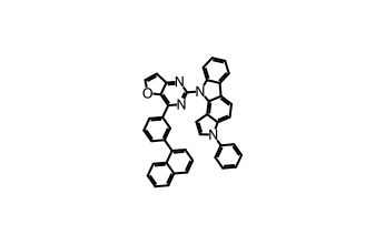 c1ccc(-n2ccc3c2ccc2c4ccccc4n(-c4nc(-c5cccc(-c6cccc7ccccc67)c5)c5occc5n4)c23)cc1